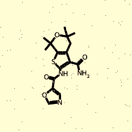 CC1(C)Cc2c(sc(NC(=O)c3cnco3)c2C(N)=O)C(C)(C)O1